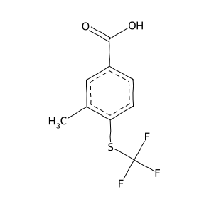 Cc1cc(C(=O)O)ccc1SC(F)(F)F